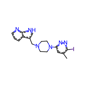 Cc1cc(N2CCN(Cc3c[nH]c4ncccc34)CC2)nnc1I